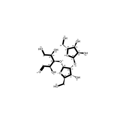 O=C[C@H](O)[C@H](O[C@H]1O[C@H](CO)[C@@H](O)[C@H]1O[C@H]1O[C@H](CO)[C@@H](O)[C@H]1O)[C@H](O)CO